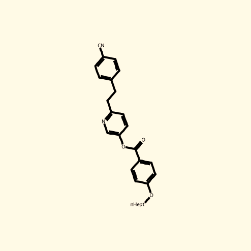 CCCCCCCOc1ccc(C(=O)Oc2ccc(CCc3ccc(C#N)cc3)nc2)cc1